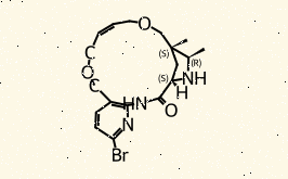 C[C@H]1N[C@H]2C[C@]1(C)COCC=CCOCc1ccc(Br)nc1NC2=O